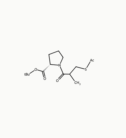 CC(=O)SCC(C)C(=O)N1CCC[C@H]1C(=O)OC(C)(C)C